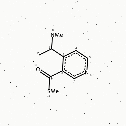 CNC(C)c1ccncc1C(=O)SC